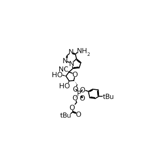 CC(C)(C)C(=O)OCO[P@](=O)(OC[C@H]1O[C@@](C#N)(c2ccc3c(N)ncnn23)[C@H](O)[C@@H]1O)Oc1ccc(C(C)(C)C)cc1